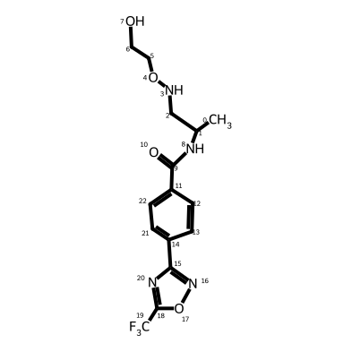 CC(CNOCCO)NC(=O)c1ccc(-c2noc(C(F)(F)F)n2)cc1